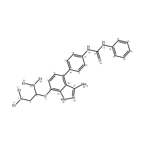 CCN(CC)CC(Oc1ccc(-c2ccc(NC(=O)Nc3ccccc3)cc2)c2c(N)n[nH]c12)N(CC)CC